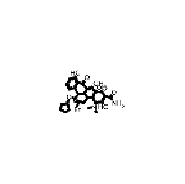 CCC(=O)CC1C2C(=C(O)C3(O)C(=O)C(C(N)=O)=C(O)C(N(C)C)C13)C(=O)c1c(O)cccc1C2COC1CCCC1